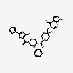 Cn1ccc2c(=O)n(CC3(O)CCN(C(=O)[C@@H]4CCN(C(=O)c5sc(-c6ccsc6)cc5F)C[C@H]4c4ccccc4)CC3)cnc21